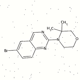 CC1(C)COCCN1c1ncc2cc(Br)ccc2n1